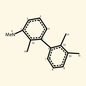 CNc1cccc(-c2cccc(C)c2C)c1C